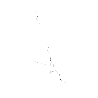 C=CCC(CCCCCCCCCCCC)OP(=O)(O)O